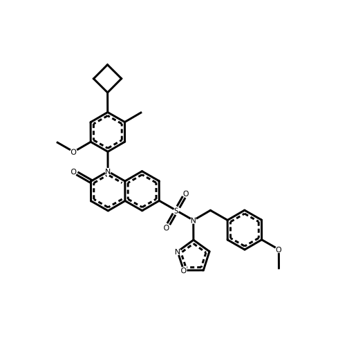 COc1ccc(CN(c2ccon2)S(=O)(=O)c2ccc3c(ccc(=O)n3-c3cc(C)c(C4CCC4)cc3OC)c2)cc1